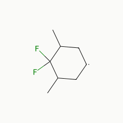 CC1C[CH]CC(C)C1(F)F